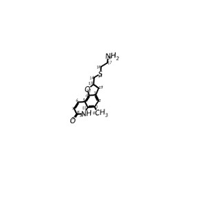 Cc1cc2c(c3ccc(=O)[nH]c13)OC(CSCCN)C2